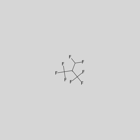 FC(F)[C](C(F)(F)F)C(F)(F)F